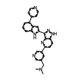 CN(C)Cc1cncc(-c2ccc3[nH]nc(-c4cc5c(-c6ccncc6)cccc5[nH]4)c3n2)c1